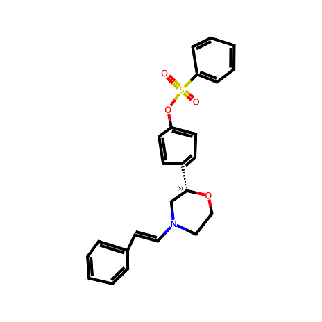 O=S(=O)(Oc1ccc([C@H]2CN(C=Cc3ccccc3)CCO2)cc1)c1ccccc1